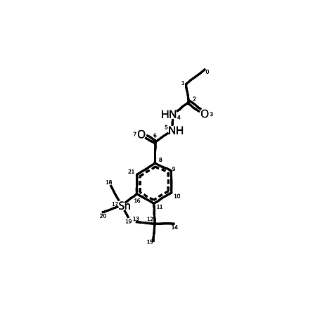 CCC(=O)NNC(=O)c1ccc(C(C)(C)C)[c]([Sn]([CH3])([CH3])[CH3])c1